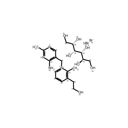 Br.Cc1ncc(C[n+]2cccc(CCO)c2C)c(N)n1.OC[C@@H](O)[C@@H](O)[C@H](O)[C@@H](O)CO.[Br-]